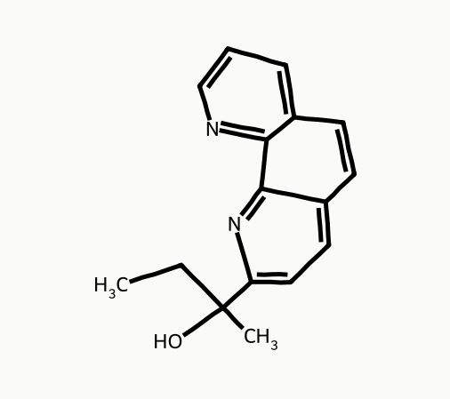 CCC(C)(O)c1ccc2ccc3cccnc3c2n1